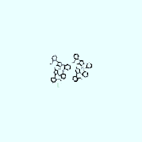 CCc1ccccc1C1=CC(C)[C]([Hf]([C]2=C(C)C(c3ccccc3CC)=CC2C)=[Si](c2ccccc2)c2ccccc2)=C1C.CCc1ccccc1C1=CC(C)[C]([Hf]([C]2=C(C)C(c3ccccc3CC)=CC2C)=[Si](c2ccccc2)c2ccccc2)=C1C.[Cl-].[Cl-]